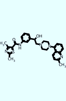 Cc1ccc2c(N3CCN(CC(O)c4cccc(NC(=O)c5sc(C)nc5C)c4)CC3)cccc2n1